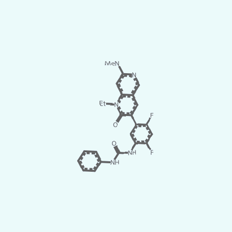 CCn1c(=O)c(-c2cc(NC(=O)Nc3ccccc3)c(F)cc2F)cc2cnc(NC)cc21